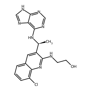 C[C@H](Nc1ncnc2[nH]cnc12)c1cc2cccc(Cl)c2nc1NCCO